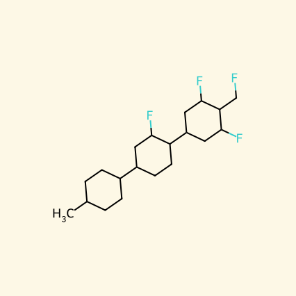 CC1CCC(C2CCC(C3CC(F)C(CF)C(F)C3)C(F)C2)CC1